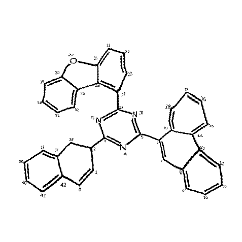 C1=CC(c2nc(-c3cc4ccccc4c4ccccc34)nc(-c3cccc4oc5ccccc5c34)n2)Cc2ccccc21